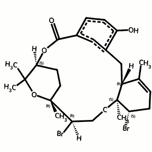 CC1=CC[C@H](Br)[C@@]2(C)CC[C@@H](Br)[C@@]3(C)CC[C@H](OC(=O)c4ccc(O)c(c4)C[C@H]12)C(C)(C)O3